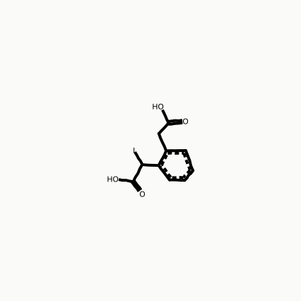 O=C(O)Cc1ccccc1C(I)C(=O)O